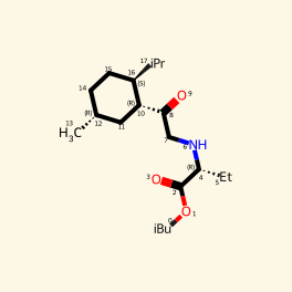 CCC(C)OC(=O)[C@@H](CC)NCC(=O)[C@@H]1C[C@H](C)CC[C@H]1C(C)C